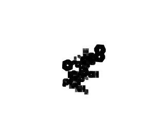 COc1nc(N)nc2c1ncn2C1O[C@H](COP(=O)(N[C@@H](C)C(=O)O[C@@H](C)c2ccccc2)Oc2cccc3ccccc23)[C@@H](O)[C@@]1(C)O